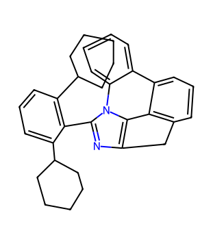 c1cc(C2CCCCC2)c(-c2nc3c4c5c(cccc5c5ccccc5n24)C3)c(C2CCCCC2)c1